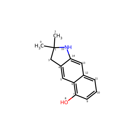 CC1(C)Cc2cc3c(O)cccc3cc2N1